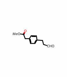 COC(=O)Cc1ccc(CCC=O)cc1